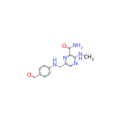 CNc1ncc(CNc2ccc(C=O)cc2)nc1C(N)=O